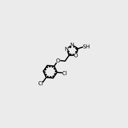 Sc1nnc(COc2ccc(Cl)cc2Cl)o1